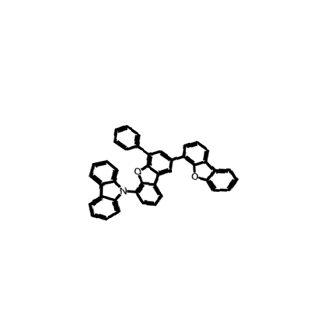 c1ccc(-c2cc(-c3cccc4c3oc3ccccc34)cc3c2oc2c(-n4c5ccccc5c5ccccc54)cccc23)cc1